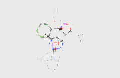 COC(=O)c1cnc(N2C3CC[C@H]2CC(OCc2c(-c4ccccc4C)noc2C2CC2)C3)nc1C(F)(F)F